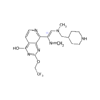 C=N/C(=C\N(C)CC1CCNCC1)c1nccc2c(O)nc(OCC(F)(F)F)nc12